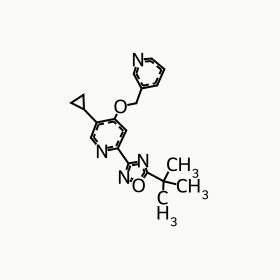 CC(C)(C)c1nc(-c2cc(OCc3cccnc3)c(C3CC3)cn2)no1